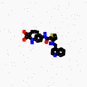 COc1c(Nc2ccc(NC(=O)c3sccc3NCc3ccnc4ccccc34)cc2)c(=O)c1=O